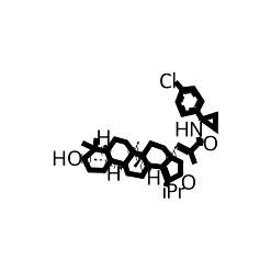 CC(=C[C@@]12CC[C@]3(C)[C@H](CC[C@@H]4[C@@]5(C)CC[C@H](O)C(C)(C)[C@@H]5CC[C@]43C)C1=C(C(C)C)C(=O)C2)C(=O)NC1(c2ccc(Cl)cc2)CC1